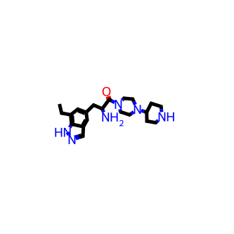 CCc1cc(CC(N)C(=O)N2CCN(C3CCNCC3)CC2)cc2cn[nH]c12